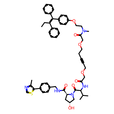 CC/C(=C(\c1ccccc1)c1ccc(OCCN(C)C(=O)COCCC#CCOCC(=O)NC(C(=O)N2C[C@H](O)C[C@H]2C(=O)NCc2ccc(-c3scnc3C)cc2)C(C)C)cc1)c1ccccc1